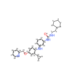 O=C(NCCC1CCCCC1)Nc1cccc(Nc2ccc(OCc3ccccn3)cc2C2CC2)c1